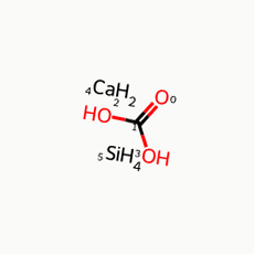 O=C(O)O.[CaH2].[SiH4]